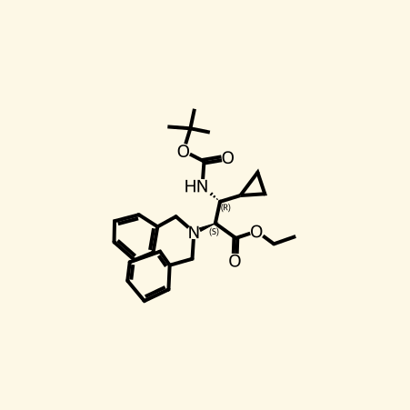 CCOC(=O)[C@H]([C@H](NC(=O)OC(C)(C)C)C1CC1)N(Cc1ccccc1)Cc1ccccc1